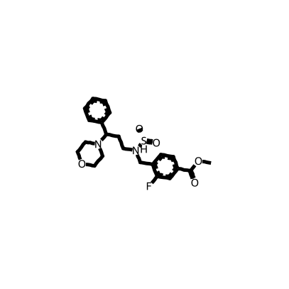 COC(=O)c1ccc(CN(CCC(c2ccccc2)N2CCOCC2)[SH](=O)=O)c(F)c1